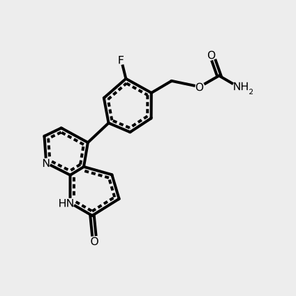 NC(=O)OCc1ccc(-c2ccnc3[nH]c(=O)ccc23)cc1F